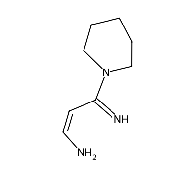 N=C(/C=C\N)N1CCCCC1